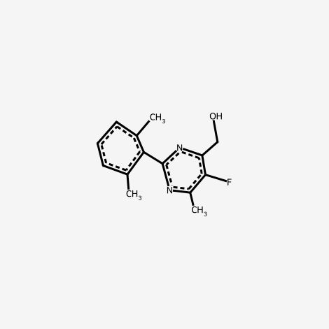 Cc1cccc(C)c1-c1nc(C)c(F)c(CO)n1